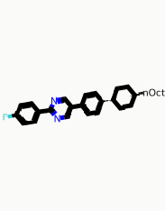 CCCCCCCC[C@H]1CC[C@H](c2ccc(-c3cnc(-c4ccc(F)cc4)nc3)cc2)CC1